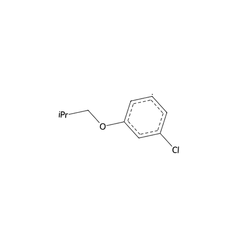 CC(C)COc1c[c]cc(Cl)c1